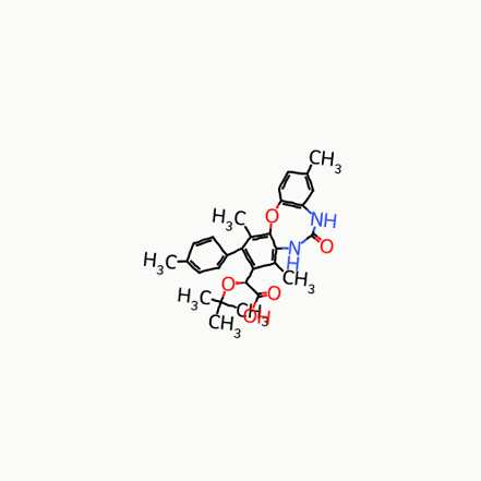 Cc1ccc(-c2c([C@H](OC(C)(C)C)C(=O)O)c(C)c3[nH]c(=O)[nH]c4cc(C)ccc4oc3c2C)cc1